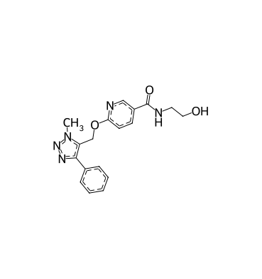 Cn1nnc(-c2ccccc2)c1COc1ccc(C(=O)NCCO)cn1